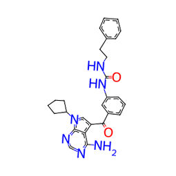 Nc1ncnc2c1c(C(=O)c1cccc(NC(=O)NCCc3ccccc3)c1)cn2C1CCCC1